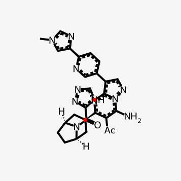 CC(=O)c1c([C@H]2C[C@H]3CC[C@@H](C2)N3C(=O)c2nnc[nH]2)nc2c(-c3ccc(-c4cn(C)cn4)nc3)cnn2c1N